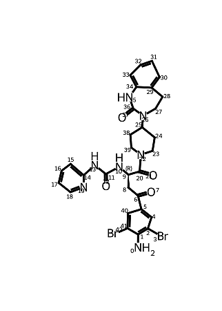 Nc1c(Br)cc(C(=O)C[C@@H](NC(=O)Nc2ccccn2)C(=O)N2CCC(N3CCc4ccccc4NC3=O)CC2)cc1Br